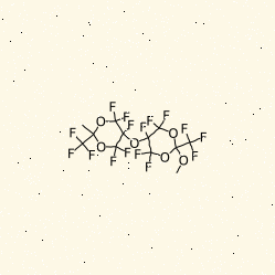 COC1(C(F)(F)F)OC(F)(F)C(F)(OC2(F)C(F)(F)OC(C)(C(F)(F)F)OC2(F)F)C(F)(F)O1